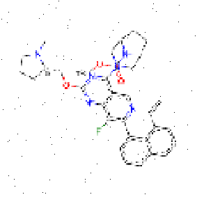 C=Cc1cccc2cccc(-c3ncc4c(N5CC6CCC(C5)N6C(=O)OC(C)(C)C)nc(OC[C@@H]5CCCN5C)nc4c3F)c12